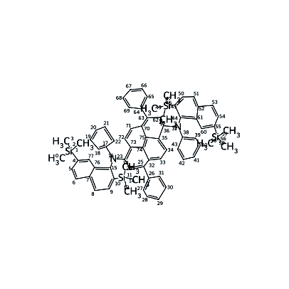 C[Si](C)(C)c1ccc2ccc([Si](C)(C)C)c(N(c3ccccc3)c3cc(-c4ccccc4)c4ccc5c(N(c6ccccc6)c6c([Si](C)(C)C)ccc7ccc([Si](C)(C)C)cc67)cc(-c6ccccc6)c6ccc3c4c65)c2c1